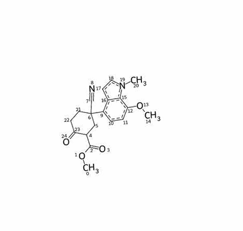 COC(=O)C1CC(C#N)(c2ccc(OC)c3c2ccn3C)CCC1=O